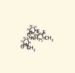 Cc1ccc(C(NC(=O)c2ccc(=O)n(C)c2)c2ncccc2F)cc1F